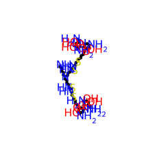 NCCCCCN(CCCCNC(=S)NCCSCCCCO[C@@H]1C(O)[C@H](N)CC(N)[C@H]1O[C@H]1OC(CN)[C@@H](O)[C@H](O)C1N)CCCNC(=S)NCCSCCCCCO[C@@H]1C(O)[C@H](N)CC(N)[C@H]1O[C@H]1OC(CN)[C@@H](O)[C@H](O)C1N